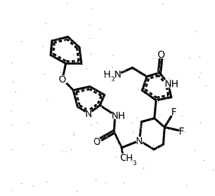 CC(C(=O)Nc1ccc(Oc2ccccc2)cn1)N1CCC(F)(F)C(c2c[nH]c(=O)c(CN)c2)C1